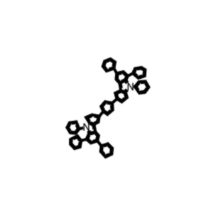 c1ccc(-c2cc(-c3ccccc3)c3c(c2)c2cc(-c4ccc(-c5ccc6c(c5)c5cc(-c7ccccc7)cc(-c7ccccc7)c5n6-c5ccccc5)cc4)ccc2n3-c2ccccc2)cc1